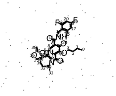 CCCCOc1c2n(cc(C(=O)NCc3c(F)cc(F)cc3F)c1=O)[C@@H]1CN(C2=O)[C@@H](C)CC[C@]12COC(C)O2